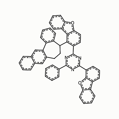 c1ccc(-c2nc(-c3ccc4oc5ccccc5c4c3C3CCc4cc5ccccc5cc4-c4ccccc43)nc(-c3cccc4c3oc3ccccc34)n2)cc1